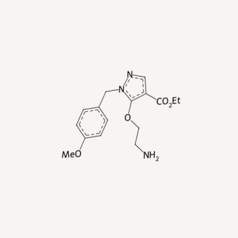 CCOC(=O)c1cnn(Cc2ccc(OC)cc2)c1OCCN